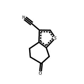 N#Cc1csc2c1CCC(=O)C2